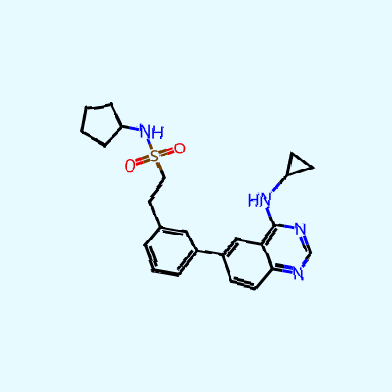 O=S(=O)(CCc1cccc(-c2ccc3ncnc(NC4CC4)c3c2)c1)NC1CCCC1